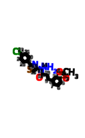 CS(=O)(=O)c1cccc(C=CC(=O)N(N)c2csc(-c3ccc(Cl)cc3)n2)c1